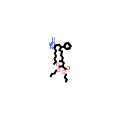 CCCCCCc1nn[nH]c1CC(CCCCC(C)CC(C(=O)OCCCC)C(=O)OCCCC)c1ccccc1